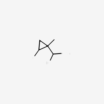 CCCCCC(C=O)C1(C)CC1CC